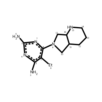 CCc1c(N)nc(N)nc1N1CC2CCCNC2C1